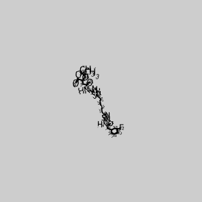 CC1(C)OC(=O)C(CC(=O)Nc2nnc(CCCCc3nnc(NC(=O)Cc4cccc(F)c4)s3)s2)O1